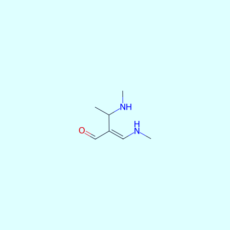 CN/C=C(/C=O)C(C)NC